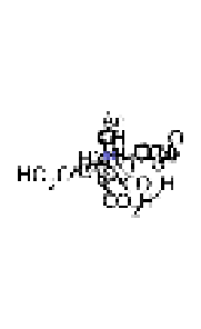 CC(=O)c1ccc(/C(=N\NC(=O)C2CCC(CN3C(=O)C=CC3=O)CC2)NC(COCCC(=O)O)(COCCC(=O)O)COCCC(=O)O)cc1